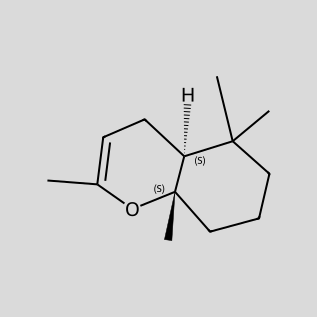 CC1=CC[C@H]2C(C)(C)CCC[C@]2(C)O1